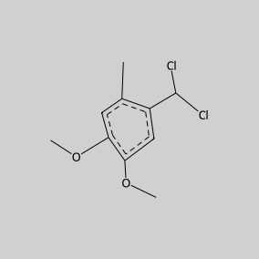 COc1cc(C)c(C(Cl)Cl)cc1OC